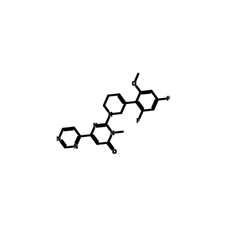 COc1cc(F)cc(F)c1C1=CCCN(c2nc(-c3ccncn3)cc(=O)n2C)C1